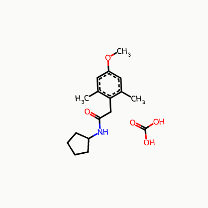 COc1cc(C)c(CC(=O)NC2CCCC2)c(C)c1.O=C(O)O